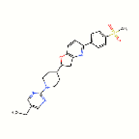 CCc1cnc(N2CCC(C3Cc4nc(-c5ccc(S(C)(=O)=O)cc5)ccc4O3)CC2)nc1